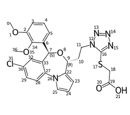 COc1cccc([C@H]2O[C@H](CCn3nnnc3SCC(=O)O)c3cccn3-c3ccc(Cl)cc32)c1OC